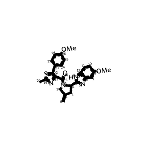 C=C1CC(c2nc3cc(OC)ccc3[nH]2)N(C(=O)c2nc(C)sc2-c2ccc(OC)cc2)C1